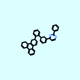 C1=CC(c2ccccc2C2C=Cc3c(c4c(c5ccccc35)C=CCC4)C2)CC(c2ccnc(-c3ccccc3)n2)=C1